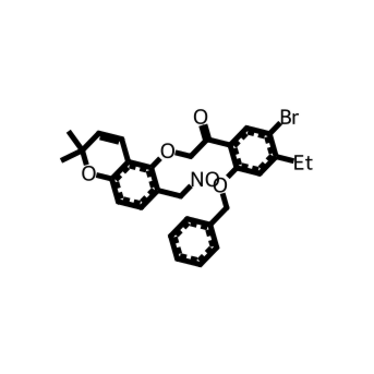 CCc1cc(OCc2ccccc2)c(C(=O)COc2c(CN=O)ccc3c2C=CC(C)(C)O3)cc1Br